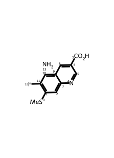 CSc1cc2ncc(C(=O)O)cc2cc1F.N